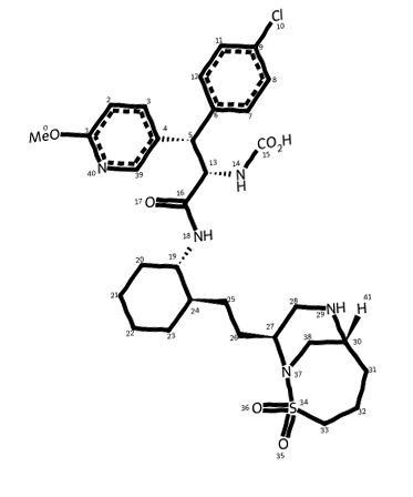 COc1ccc([C@H](c2ccc(Cl)cc2)[C@H](NC(=O)O)C(=O)N[C@H]2CCCC[C@@H]2CC[C@H]2CN[C@@H]3CCCS(=O)(=O)N2C3)cn1